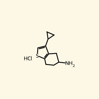 Cl.NC1CCc2scc(C3CC3)c2C1